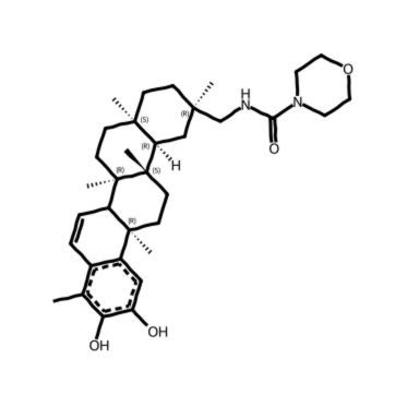 Cc1c(O)c(O)cc2c1C=CC1[C@@]2(C)CC[C@@]2(C)[C@@H]3C[C@](C)(CNC(=O)N4CCOCC4)CC[C@]3(C)CC[C@]12C